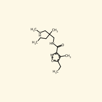 CCCC(C)(CNC)CNC(=O)c1noc(CC)c1C